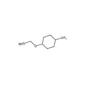 CSCOC1CCC(C)CC1